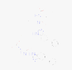 COC(=O)N[C@@H](CCSC)C(=O)N1C[C@H](C)C[C@H]1c1nc2cc(-c3ccccc3CCc3ccc(CC(C)C)c(-c4ccc5[nH]c([C@@H]6C[C@@H](C)CN6C(=O)[C@H](CCSC)NC(=O)OC)nc5c4)c3)ccc2[nH]1